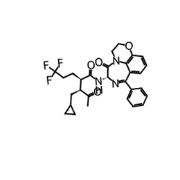 CC(=O)[C@@H](CC1CC1)[C@@H](CCC(F)(F)F)C(=O)N[C@H]1N=C(c2ccccc2)c2cccc3c2N(CCO3)C1=O